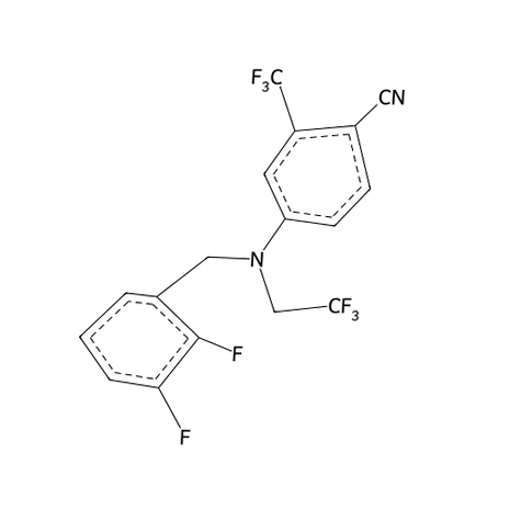 N#Cc1ccc(N(Cc2cccc(F)c2F)CC(F)(F)F)cc1C(F)(F)F